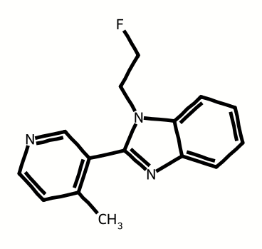 Cc1ccncc1-c1nc2ccccc2n1CCF